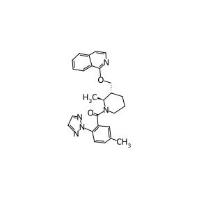 Cc1ccc(-n2nccn2)c(C(=O)N2CCC[C@@H](COc3nccc4ccccc34)[C@@H]2C)c1